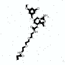 C=CC(=O)NCCOCCOCCNC(=O)C[C@@H]1C[C@H](Cc2cc(Cl)cc(OC)c2)Cn2c(N)nc(C)c21